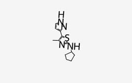 Cc1nc(NC2CCCC2)sc1-c1cc[nH]n1